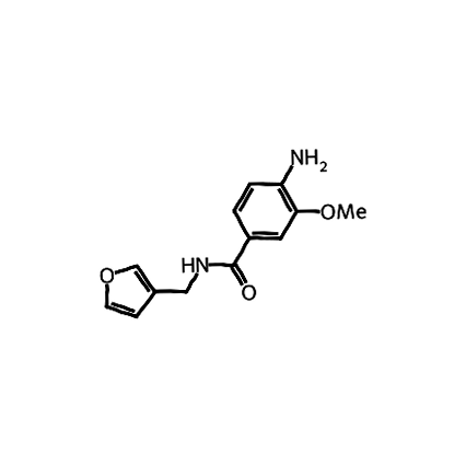 COc1cc(C(=O)NCc2ccoc2)ccc1N